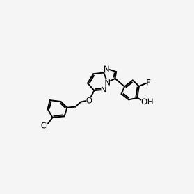 Oc1ccc(-c2cnc3ccc(OCCc4cccc(Cl)c4)nn23)cc1F